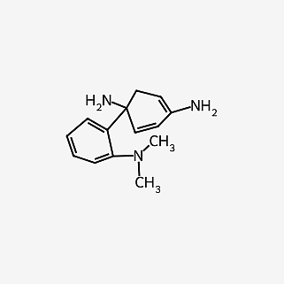 CN(C)c1ccccc1C1(N)C=CC(N)=CC1